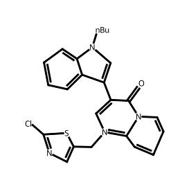 CCCCn1cc(-c2c[n+](Cc3cnc(Cl)s3)c3ccccn3c2=O)c2ccccc21